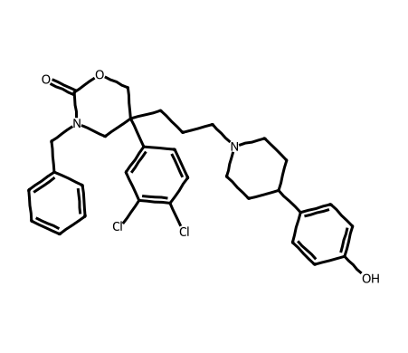 O=C1OCC(CCCN2CCC(c3ccc(O)cc3)CC2)(c2ccc(Cl)c(Cl)c2)CN1Cc1ccccc1